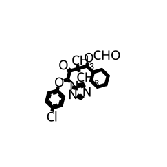 CC(C)(C(=O)C(Oc1ccc(Cl)cc1)n1cncn1)C(OC=O)C1CCCCC1